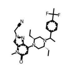 CC[C@H]1CN(C(C)c2ccc(C(C)(F)F)cc2)[C@H](CC)CN1c1cc(=O)n(C)c2cn(CC#N)nc12